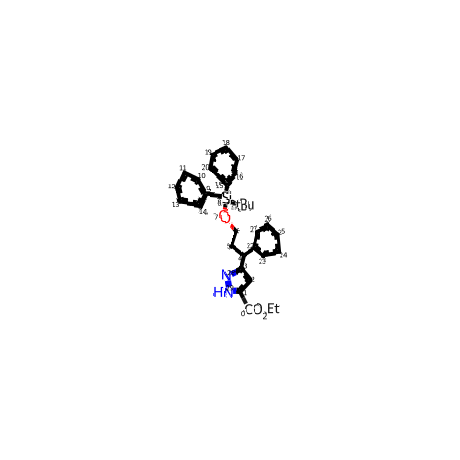 CCOC(=O)c1cc(C(CCO[Si](c2ccccc2)(c2ccccc2)C(C)(C)C)c2ccccc2)n[nH]1